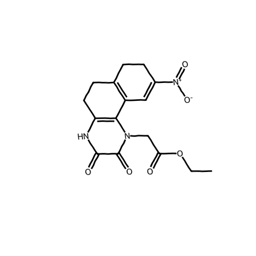 CCOC(=O)Cn1c2c([nH]c(=O)c1=O)CCC1=C2C=C([N+](=O)[O-])CC1